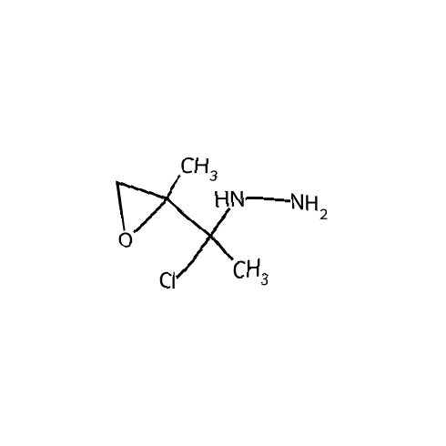 CC(Cl)(NN)C1(C)CO1